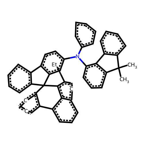 CCc1ccc2cccc3c2c1C1(c2ccccc2-c2ccc(N(c4ccccc4)c4cccc5c4-c4ccccc4C5(C)C)cc21)c1ccccc1-3